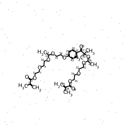 C=C(C)C(=O)OCCOCCOC(C)OCCOc1ccc(C(=O)C(C)(C)OC(C)OCCOCCOC(=O)C(=C)C)cc1